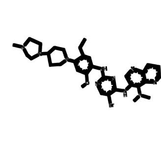 CCc1cc(Nc2ncc(Br)c(Nc3cnc4cccnc4c3P(C)C)n2)c(OC)cc1N1CCC(N2CCN(C)CC2)CC1